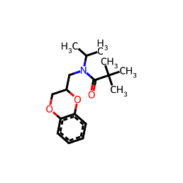 CC(C)N(CC1COc2ccccc2O1)C(=O)C(C)(C)C